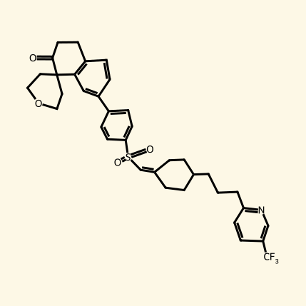 O=C1CCc2ccc(-c3ccc(S(=O)(=O)C=C4CCC(CCCc5ccc(C(F)(F)F)cn5)CC4)cc3)cc2C12CCOCC2